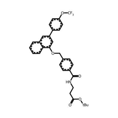 CC(C)(C)OC(=O)CCNC(=O)c1ccc(COc2cc(-c3ccc(OC(F)(F)F)cc3)cc3ccccc23)cc1